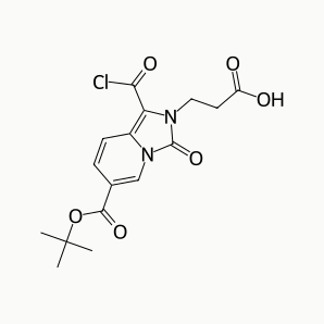 CC(C)(C)OC(=O)c1ccc2c(C(=O)Cl)n(CCC(=O)O)c(=O)n2c1